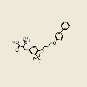 COC(Cc1ccc(OCCCOc2ccc(-c3ccccc3)cc2)c(C(F)(F)F)c1)C(=O)O